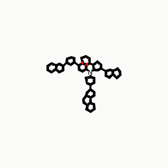 c1ccc(-c2ccc(-c3ccc4ccccc4c3)cc2N(c2ccc(-c3cccc(-c4ccc5ccccc5c4)c3)cc2)c2ccc(-c3ccc4c(ccc5ccccc54)c3)cc2)cc1